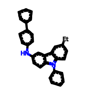 CCc1ccc2c(c1)c1cc(Nc3ccc(-c4ccccc4)cc3)ccc1n2-c1ccccc1